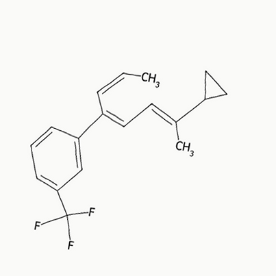 C\C=C/C(=C\C=C(/C)C1CC1)c1cccc(C(F)(F)F)c1